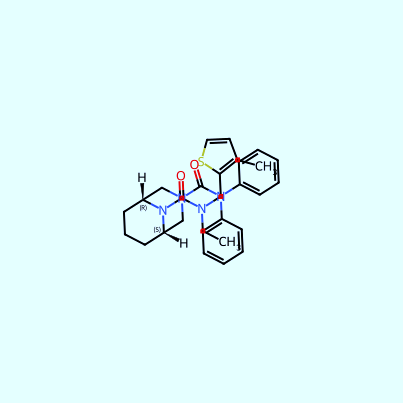 CCN(Cc1sccc1C)C(=O)N1[C@@H]2CCC[C@H]1CN(C(=O)N(c1ccccc1)c1ccccc1)C2